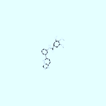 COc1cc(C(=O)Nc2cccc(-c3ccc4nncn4n3)c2)cc(OC)c1OC